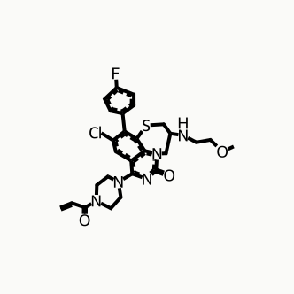 C=CC(=O)N1CCN(c2nc(=O)n3c4c(c(-c5ccc(F)cc5)c(Cl)cc24)SCC(NCCOC)C3)CC1